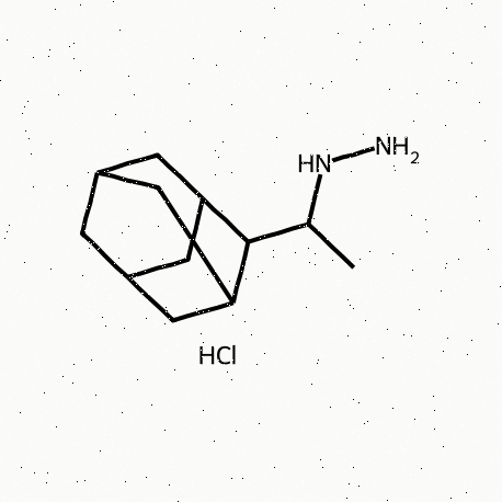 CC(NN)C1C2CC3CC(C2)CC1C3.Cl